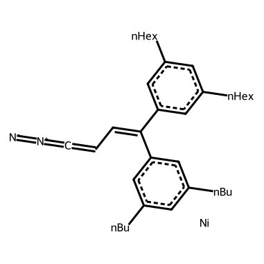 CCCCCCc1cc(CCCCCC)cc(C(=CC=C=[N+]=[N-])c2cc(CCCC)cc(CCCC)c2)c1.[Ni]